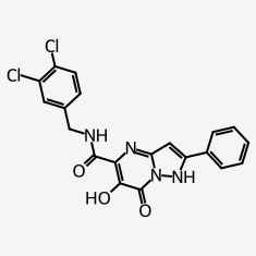 O=C(NCc1ccc(Cl)c(Cl)c1)c1nc2cc(-c3ccccc3)[nH]n2c(=O)c1O